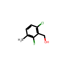 Bc1ccc(Cl)c(CO)c1F